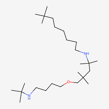 CC(C)(C)CCCCCCNC(C)(C)CC(C)(C)COCCCCNC(C)(C)C